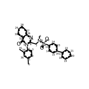 Cc1ccc(-n2c(CN(C)S(=O)(=O)c3ccc(-c4ccccc4)cc3)nc3ccccc3c2=O)c(C)c1